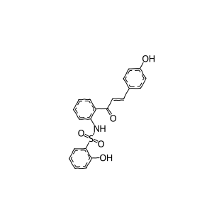 O=C(/C=C/c1ccc(O)cc1)c1ccccc1NS(=O)(=O)c1ccccc1O